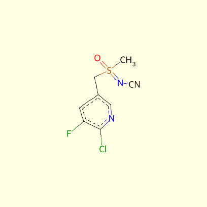 CS(=O)(Cc1cnc(Cl)c(F)c1)=NC#N